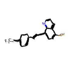 FC(F)(F)c1ccc(C=Cc2ccc(Br)c3cccnc23)cc1